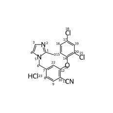 Cc1nccn1Cc1ccc(C#N)c(Oc2ccc(Cl)cc2Cl)c1.Cl